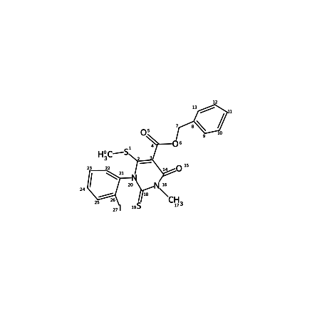 CSc1c(C(=O)OCc2ccccc2)c(=O)n(C)c(=S)n1-c1ccccc1I